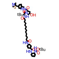 Cc1ncsc1-c1ccc(CNC(=O)[C@@H]2C[C@@H](O)CN2C(=O)[C@@H](NC(=O)CCCCCCCCCCCCC(=O)Nc2ccc(C(=O)Nc3ccccc3NC(=O)OC(C)(C)C)cc2)C(C)(C)C)cc1